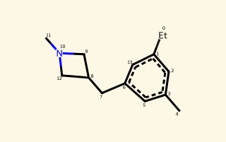 CCc1cc(C)cc(CC2CN(C)C2)c1